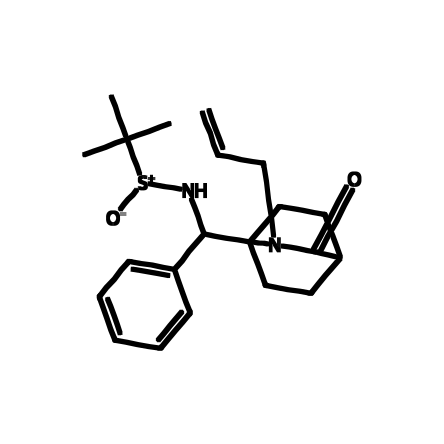 C=CCN1C(=O)C2CCC1(C(N[S+]([O-])C(C)(C)C)c1ccccc1)CC2